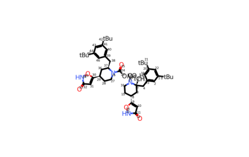 CC(C)(C)c1cc(C[C@]2(C)C[C@H](c3cc(=O)[nH]o3)CCN2C(=O)O)cc(C(C)(C)C)c1.COC(=O)N1CC[C@@H](c2cc(=O)[nH]o2)C[C@H]1Cc1cc(C(C)(C)C)cc(C(C)(C)C)c1